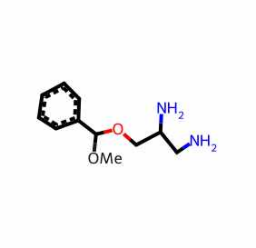 COC(OCC(N)CN)c1ccccc1